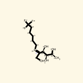 C[C@H](O)[C@@H](O)[C@H](O)/C(CO)=N\CCCCCC(F)(F)F